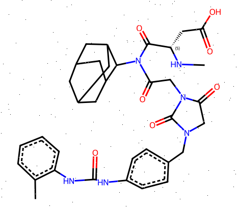 CN[C@@H](CC(=O)O)C(=O)N(C(=O)CN1C(=O)CN(Cc2ccc(NC(=O)Nc3ccccc3C)cc2)C1=O)C1C2CC3CC(C2)CC1C3